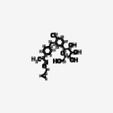 CC(=NOCC1CC1)c1ccc(Cc2cc([C@@H]3O[C@H](CO)[C@@H](O)[C@H](O)[C@H]3O)ccc2Cl)cc1